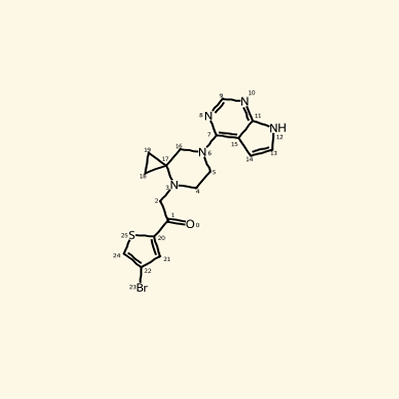 O=C(CN1CCN(c2ncnc3[nH]ccc23)CC12CC2)c1cc(Br)cs1